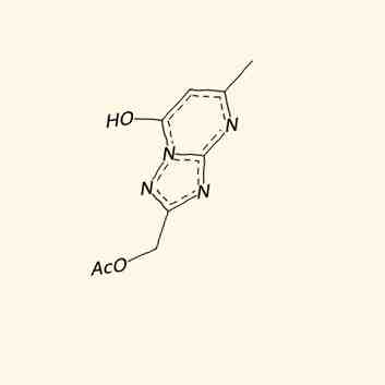 CC(=O)OCc1nc2nc(C)cc(O)n2n1